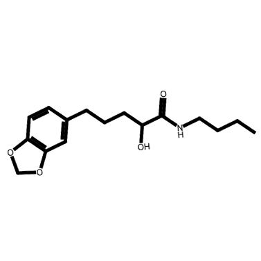 CCCCNC(=O)C(O)CCCc1ccc2c(c1)OCO2